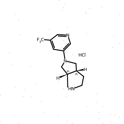 Cl.FC(F)(F)c1cncc(N2C[C@H]3CNCC[C@H]3C2)c1